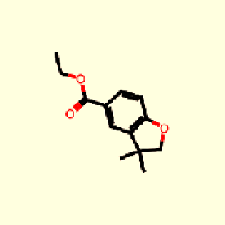 CCOC(=O)c1ccc2c(c1)C(C)(C)CO2